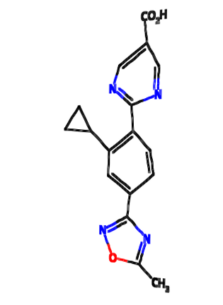 Cc1nc(-c2ccc(-c3ncc(C(=O)O)cn3)c(C3CC3)c2)no1